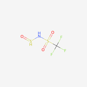 O=[SH]NS(=O)(=O)C(F)(F)F